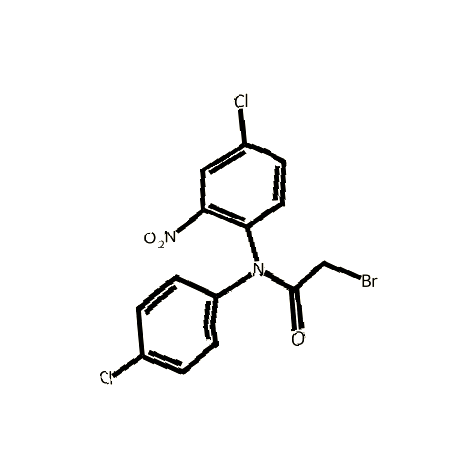 O=C(CBr)N(c1ccc(Cl)cc1)c1ccc(Cl)cc1[N+](=O)[O-]